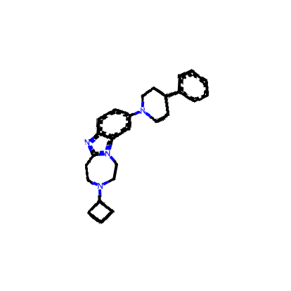 c1ccc(C2CCN(c3ccc4nc5n(c4c3)CCN(C3CCC3)CC5)CC2)cc1